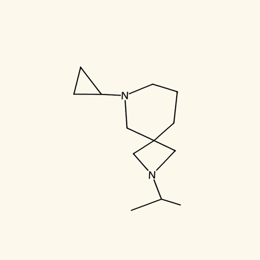 CC(C)N1CC2(CCCN(C3CC3)C2)C1